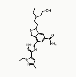 CCN(CCO)CCn1ncc2c(-c3nc(-c4cc(C)nn4CC)n[nH]3)cc(C(N)=O)cc21